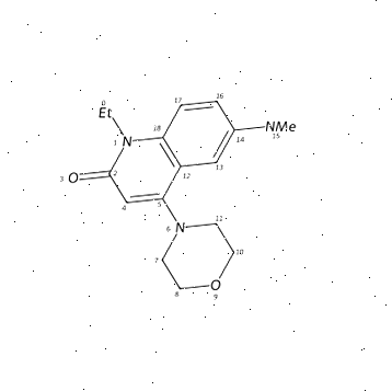 CCn1c(=O)cc(N2CCOCC2)c2cc(NC)ccc21